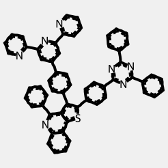 c1ccc(-c2nc(-c3ccccc3)nc(-c3ccc(-c4sc5c(c(-c6ccccc6)nc6ccccc65)c4-c4ccc(-c5cc(-c6ccccn6)nc(-c6ccccn6)c5)cc4)cc3)n2)cc1